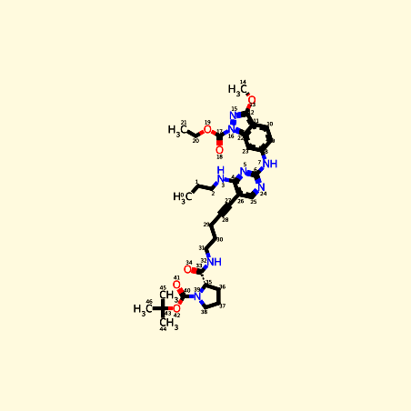 CCCNc1nc(Nc2ccc3c(OC)nn(C(=O)OCC)c3c2)ncc1C#CCCCNC(=O)[C@@H]1CCCN1C(=O)OC(C)(C)C